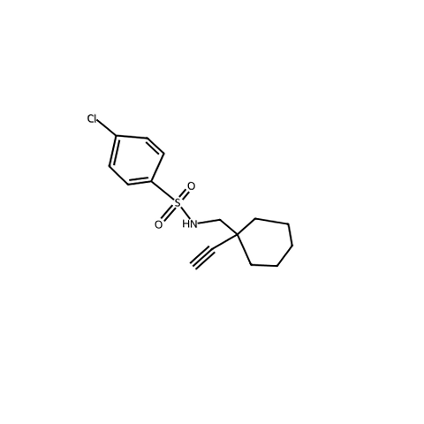 C#CC1(CNS(=O)(=O)c2ccc(Cl)cc2)CCCCC1